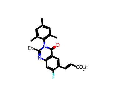 CCc1nc2cc(F)c(C=CC(=O)O)cc2c(=O)n1-c1c(C)cc(C)cc1C